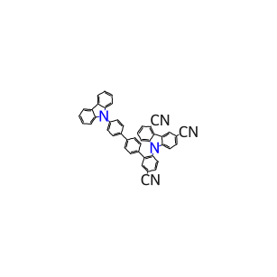 N#Cc1ccc(-n2c3ccc(C#N)cc3c3c(C#N)cccc32)c(-c2ccc(-c3ccc(-n4c5ccccc5c5ccccc54)cc3)cc2)c1